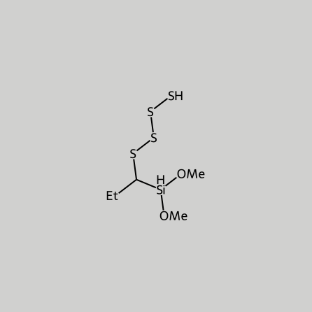 CCC(SSSS)[SiH](OC)OC